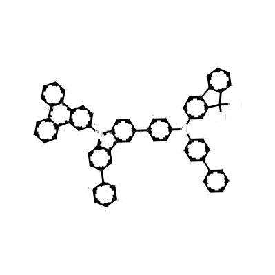 CC1(C)c2ccccc2-c2ccc(N(c3ccc(-c4ccccc4)cc3)c3ccc(-c4ccc5c(c4)c4cc(-c6ccccc6)ccc4n5-c4ccc5c6ccccc6c6ccccc6c5c4)cc3)cc21